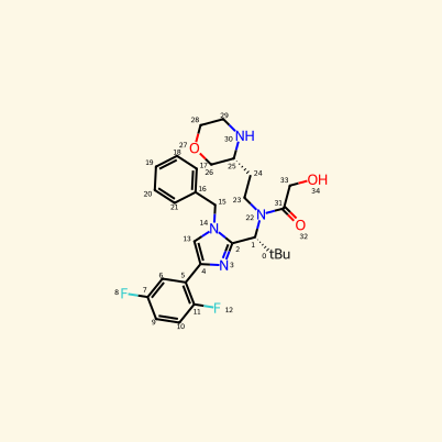 CC(C)(C)[C@H](c1nc(-c2cc(F)ccc2F)cn1Cc1ccccc1)N(CC[C@@H]1COCCN1)C(=O)CO